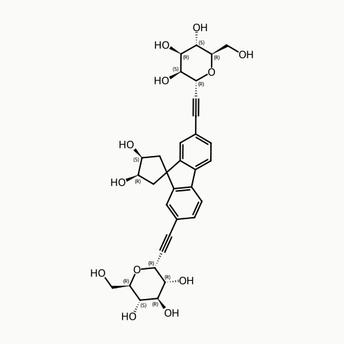 OC[C@H]1O[C@H](C#Cc2ccc3c(c2)C2(C[C@@H](O)[C@@H](O)C2)c2cc(C#C[C@H]4O[C@H](CO)[C@@H](O)[C@H](O)[C@@H]4O)ccc2-3)[C@H](O)[C@@H](O)[C@@H]1O